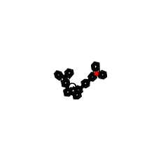 c1ccc(N(c2ccccc2)c2ccc(-c3ccc(-c4cc5c6c(cccc6c4)-c4cccc(-c6ccc(N(c7ccccc7)c7ccccc7)cc6)c4O5)cc3)cc2)cc1